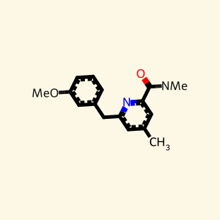 CNC(=O)c1cc(C)cc(Cc2cccc(OC)c2)n1